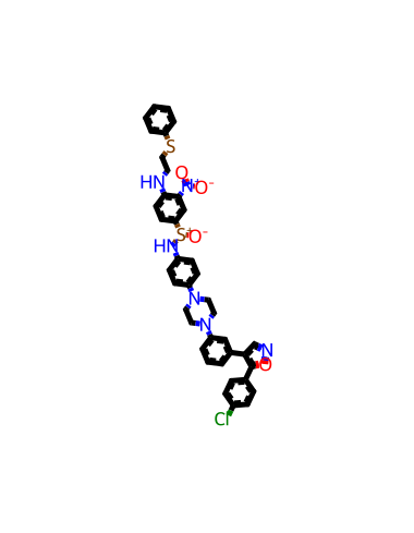 O=[N+]([O-])c1cc([S+]([O-])Nc2ccc(N3CCN(c4cccc(-c5cnoc5-c5ccc(Cl)cc5)c4)CC3)cc2)ccc1NCCSc1ccccc1